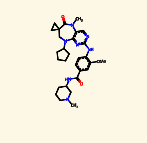 COc1cc(C(=O)N[C@@H]2CCCN(C)C2)ccc1Nc1ncc2c(n1)N(C1CCCC1)CC1(CC1)C(=O)N2C